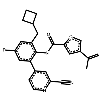 C=C(C)c1coc(C(=O)Nc2c(CC3CCC3)cc(F)cc2-c2ccnc(C#N)c2)c1